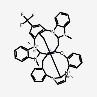 CN1c2ccccc2N2c3cc(C(F)(F)F)cc4c3CC3N5C=C[N@+]3(C)c3ccccc3O/C(=C(\Cc3ccccc35)C3N(C)c5ccccc5[N@@+]43C)CC12